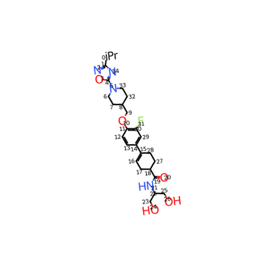 CC(C)c1noc(N2CCC(COc3ccc(C4=CCC(C(=O)NC(CO)CO)CC4)cc3F)CC2)n1